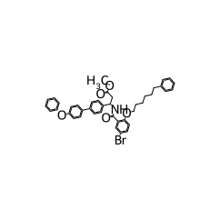 COC(=O)CC(NC(=O)c1cc(Br)ccc1OCCCCCCc1ccccc1)c1ccc(-c2ccc(Oc3ccccc3)cc2)cc1